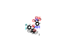 COc1c([C@H]2[C@H](C(=O)Nc3ccc4c(c3)C(=O)N(O)C4=O)O[C@@](C)(C(F)(F)F)[C@H]2C)ccc(F)c1F